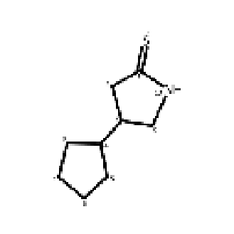 S=C1CC(C2CCCC2)CN1